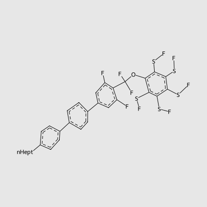 CCCCCCCc1ccc(-c2ccc(-c3cc(F)c(C(F)(F)Oc4c(SF)c(SF)c(SF)c(SF)c4SF)c(F)c3)cc2)cc1